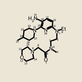 CCN(CCN(C)C(=O)CN1CCOCC1)c1ccc(N)c(N2CCC(C)CC2)n1